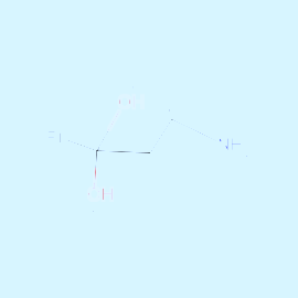 CCC(O)(O)CCN